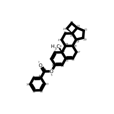 C[C@]12C=CC(OC(=O)c3ccccc3)=CC1=CCC1C3CCC4CC[C@@]43CCC12